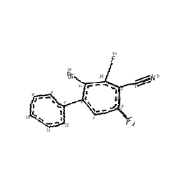 N#Cc1c(F)cc(-c2ccccc2)c(Br)c1F